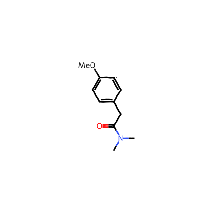 COc1[c]cc(CC(=O)N(C)C)cc1